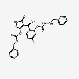 C=C(C1=C(OC(=O)OCc2ccccc2)CNC1=O)c1ccc(Cl)cc1OC(=O)NNCc1ccccc1